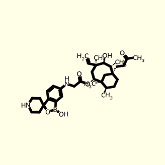 C=C[C@]1(C)C[C@@H](OC(=O)CNc2ccc3c(c2)B(O)OC32CCNCC2)[C@@]2(C)C[C@](CCC(C)=O)(CC[C@H]2C)[C@@H](C)[C@@H]1O